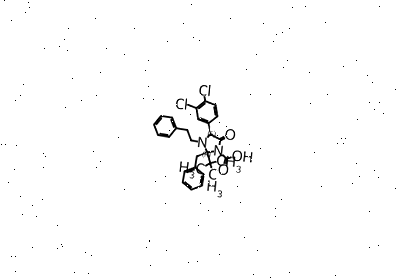 CC(C)(C)[C@@]1(Cc2ccccc2)N(C(=O)O)C(=O)[C@H](c2ccc(Cl)c(Cl)c2)N1CCc1ccccc1